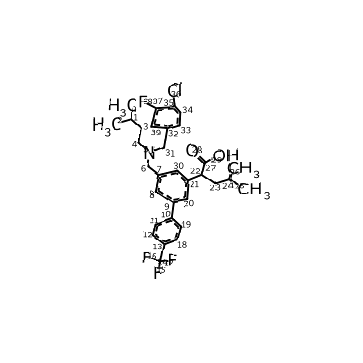 CC(C)CCN(Cc1cc(-c2ccc(C(F)(F)F)cc2)cc(C(CC(C)C)C(=O)O)c1)Cc1ccc(Cl)c(F)c1